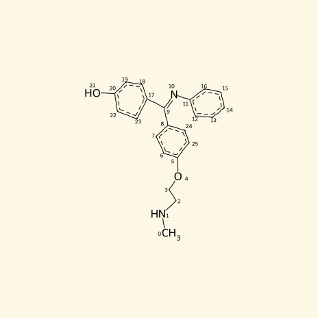 CNCCOc1ccc(/C(=N\c2ccccc2)c2ccc(O)cc2)cc1